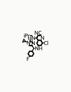 CC(C)CNc1c(C#N)cnc2c(Cl)cc(N[C@@H](c3ccc(F)cc3)c3cn(C4CC4)nn3)cc12